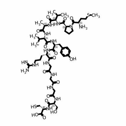 CSCC[C@H](N)C(=O)N1CCC[C@H]1C(=O)N[C@H](C(=O)N[C@@H](C)C(=O)N[C@H](C(=O)N[C@@H](Cc1ccc(O)cc1)C(=O)N[C@@H](CCCNC(=N)N)C(=O)NCC(=O)NCC(=O)NCC(=O)N[C@@H](CO)C(=O)N[C@@H](CS)C(=O)O)C(C)C)C(C)C